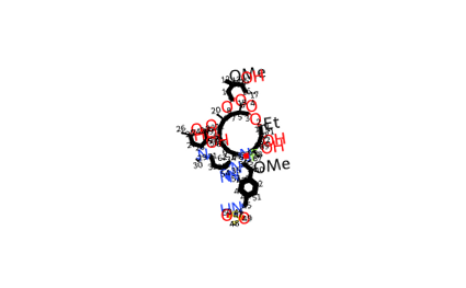 CC[C@H]1OC(=O)[C@H](C)[C@@H](O[C@H]2C[C@@](C)(OC)[C@@H](O)[C@H](C)O2)[C@H](C)[C@@H](O[C@@H]2O[C@H](C)C[C@H](N(C)CCc3cn([C@H](CF)[C@H](OC)c4ccc(CNS(C)(=O)=O)cc4)nn3)[C@H]2O)[C@](C)(O)C[C@@H](C)CN(C)[C@H](C)[C@@H](O)[C@]1(C)O